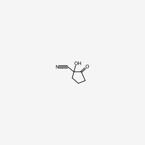 N#CC1(O)CCCC1=O